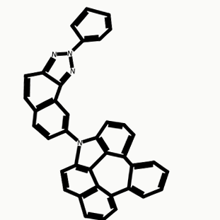 c1ccc(-n2nc3ccc4ccc(-n5c6cccc7c6c6c8c(cccc8ccc65)-c5ccccc5-7)cc4c3n2)cc1